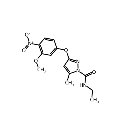 CCNC(=O)n1nc(Oc2ccc([N+](=O)[O-])c(OC)c2)cc1C